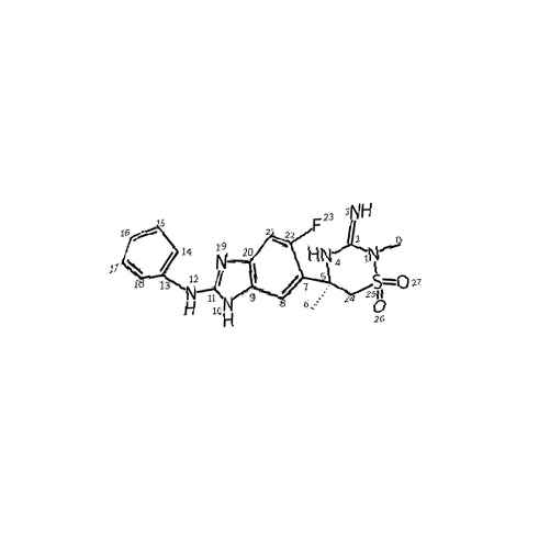 CN1C(=N)N[C@](C)(c2cc3[nH]c(Nc4ccccc4)nc3cc2F)CS1(=O)=O